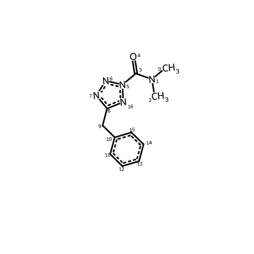 CN(C)C(=O)n1nnc(Cc2ccccc2)n1